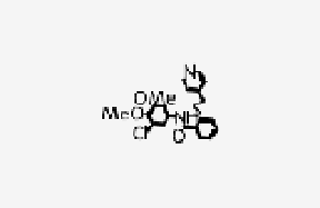 COc1cc(OC)c(NC(=O)c2ccccc2SCc2ccncc2)cc1Cl